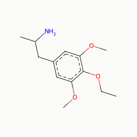 CCOc1c(OC)cc(CC(C)N)cc1OC